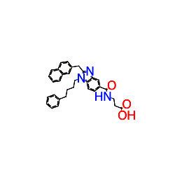 O=C(O)CCNC(=O)c1ccc2c(c1)nc(Cc1ccc3ccccc3c1)n2CCCCc1ccccc1